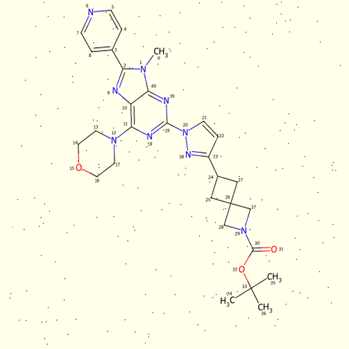 Cn1c(-c2ccncc2)nc2c(N3CCOCC3)nc(-n3ccc(C4CC5(C4)CN(C(=O)OC(C)(C)C)C5)n3)nc21